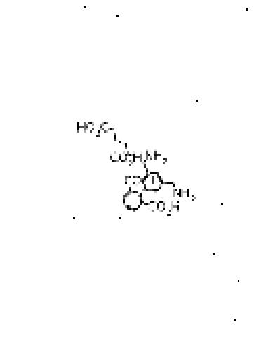 NCc1cccc(CN)c1.O=C(O)CCCCC(=O)O.O=C(O)c1cccc(C(=O)O)c1